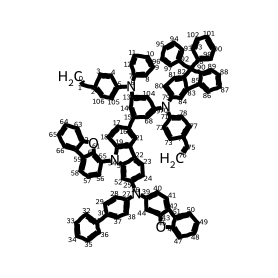 C=Cc1ccc(N(c2ccccc2)c2cc(-c3ccc4c(c3)c3ccc(N(c5ccc(-c6ccccc6)cc5)c5ccc6c(c5)oc5ccccc56)cc3n4-c3cccc4c3oc3ccccc34)cc(N(c3ccc(C=C)cc3)c3ccc4c(c3)-c3ccccc3C4(c3ccccc3)c3ccccc3)c2)cc1